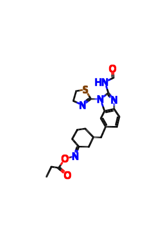 CCC(=O)ON=C1CCCC(Cc2ccc3nc(NC=O)n(C4=NCCS4)c3c2)C1